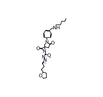 CCCCCNCC1=CC=CC(N2CC3(CC2=O)C(=O)N3/C(=N/N=C/CCC2CCCO2)OC)C=C1